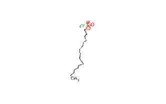 CCCCCCCCCCCCCCCCOS(=O)(=O)Cl